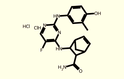 Cc1cc(Nc2ncc(F)c(NC3C4C=CC(C4)C3C(N)=O)n2)ccc1O.Cl.Cl